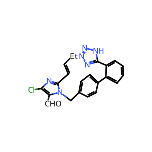 CC/C=C/c1nc(Cl)c(C=O)n1Cc1ccc(-c2ccccc2-c2nnn[nH]2)cc1